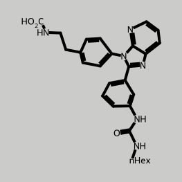 CCCCCCNC(=O)Nc1cccc(-c2nc3cccnc3n2-c2ccc(CCNC(=O)O)cc2)c1